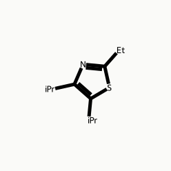 CCc1nc(C(C)C)c(C(C)C)s1